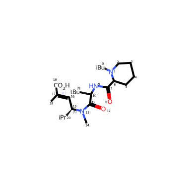 CCC(C)N1CCCCC1C(=O)NC(C(=O)N(C)[C@H](/C=C(\C)C(=O)O)C(C)C)C(C)(C)C